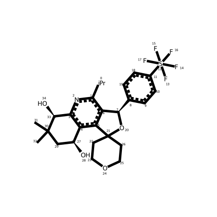 CC(C)c1nc2c(c3c1[C@@H](c1ccc(S(F)(F)(F)(F)F)cc1)OC31CCOCC1)[C@@H](O)CC(C)(C)[C@H]2O